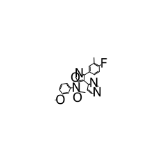 COc1cccc(N(C(C)=O)c2onc(-c3ccc(F)c(C)c3)c2-c2ccncn2)c1